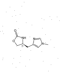 Cn1cnc(C[C@H]2COC(=O)N2)c1